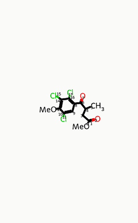 COC(=O)CC(C)C(=O)c1cc(Cl)c(OC)c(Cl)c1Cl